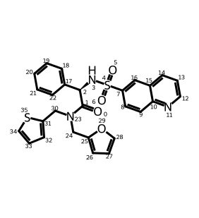 O=C([C@H](NS(=O)(=O)c1ccc2ncccc2c1)c1ccccc1)N(Cc1ccco1)Cc1cccs1